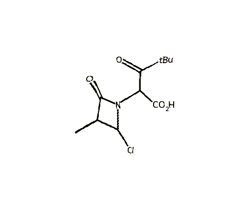 CC1C(=O)N(C(C(=O)O)C(=O)C(C)(C)C)C1Cl